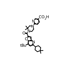 CC1(C)CCC(c2cc(C(C)(C)C)c3oc(C(=O)N4CCN(c5ccc(C(=O)O)cn5)CC4(C)C)cc3n2)CC1